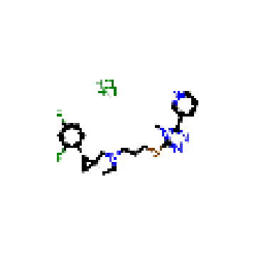 Cl.Cl.Cn1c(SCCCN2CC[C@@]3(C[C@H]3c3ccc(F)cc3F)C2)nnc1-c1cccnc1